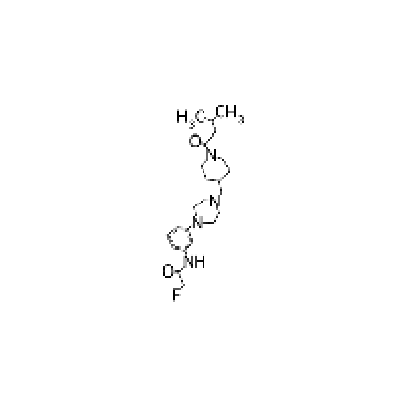 CC(C)CC(=O)N1CCC(CN2CCN(c3cccc(NC(=O)CF)c3)CC2)CC1